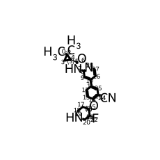 CC1(C)C[C@@H]1C(=O)Nc1cc(-c2ccc(O[C@H]3CCNC[C@H]3F)c(C#N)c2)ccn1